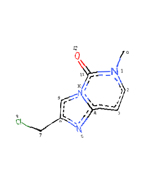 Cn1ccc2nc(CCl)cn2c1=O